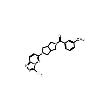 COc1cccc(C(=O)N2CC3CN(c4ccc5nnc(C(F)(F)F)n5n4)CC3C2)c1